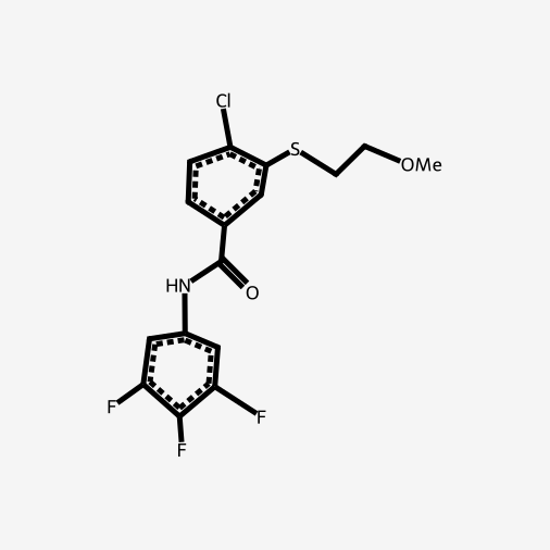 COCCSc1cc(C(=O)Nc2cc(F)c(F)c(F)c2)ccc1Cl